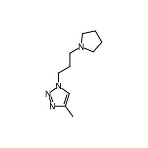 Cc1cn(CCCN2CCCC2)nn1